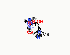 CCn1c(-c2cccnc2[C@H](C)OC)c2c3cc(ccc31)-c1cc(O)cc(c1)C[C@H](NC(=O)C(C(C)C)N(C)C(=O)[C@@H]1C[C@@H]1C)C(=O)N1CCC[C@H](N1)C(=O)OCC(C)(C)C2